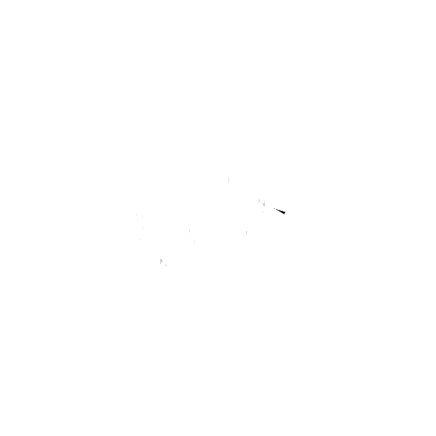 C[N@+]1([O-])CCC[C@H]1c1cccnc1